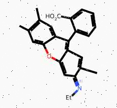 CC/N=c1\cc2oc3cc(C)c(C)cc3c(-c3ccccc3C(=O)O)c-2cc1C